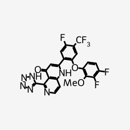 COc1c(Oc2cc(C(F)(F)F)c(F)cc2-c2cc(=O)c3c(-c4nnn[nH]4)nccc3[nH]2)ccc(F)c1F